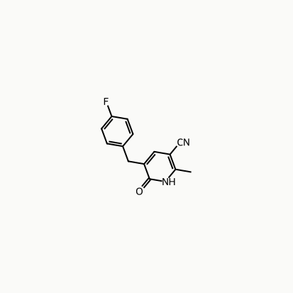 Cc1[nH]c(=O)c(Cc2ccc(F)cc2)cc1C#N